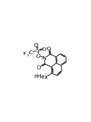 CCCCCCc1ccc2cccc3c2c1C(=O)N(OS(=O)(=O)C(F)(F)F)C3=O